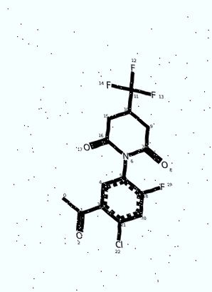 CC(=O)c1cc(N2C(=O)CC(C(F)(F)F)CC2=O)c(F)cc1Cl